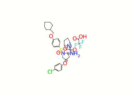 NC1CC2CCC(C1)N2C(=O)[C@@H]1C[C@H](Oc2ccc(Cl)cc2)CN1S(=O)(=O)c1ccc(OCC2CCCCC2)cc1.O=C(O)C(F)(F)F